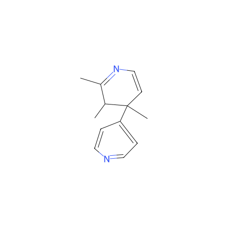 CC1=NC=CC(C)(c2ccncc2)C1C